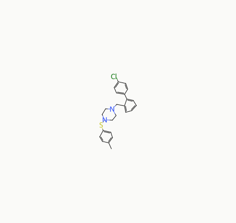 Cc1ccc(SN2CCN(Cc3ccccc3-c3ccc(Cl)cc3)CC2)cc1